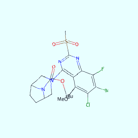 COc1c(Cl)c(Br)c(F)c2nc(S(C)(=O)=O)nc(N3CC4CCC(C3)N4C(=O)OC(C)(C)C)c12